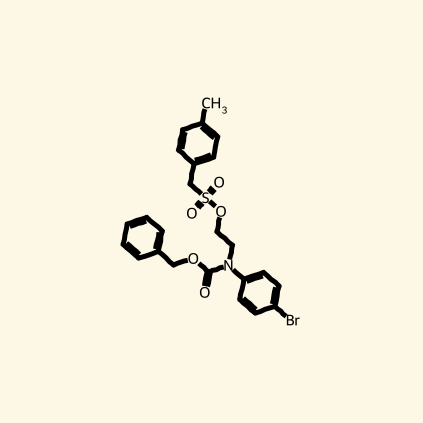 Cc1ccc(CS(=O)(=O)OCCN(C(=O)OCc2ccccc2)c2ccc(Br)cc2)cc1